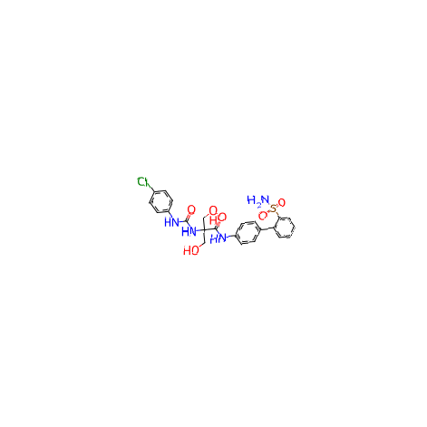 NS(=O)(=O)c1ccccc1-c1ccc(NC(=O)C(CO)(CO)NC(=O)Nc2ccc(Cl)cc2)cc1